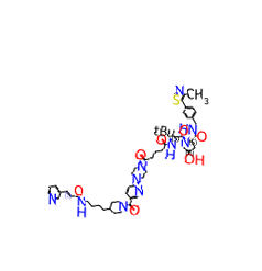 Cc1ncsc1-c1ccc(CNC(=O)[C@@H]2C[C@@H](O)CN2C(=O)[C@@H](NC(=O)CCCC(=O)N2CCN(c3ccc(C(=O)N4CCC(CCCCNC(=O)/C=C/c5cccnc5)CC4)cn3)CC2)C(C)(C)C)cc1